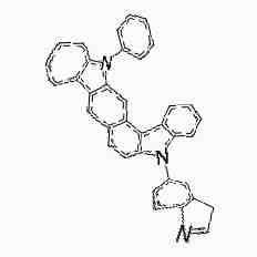 C1=Nc2ccc(-n3c4ccccc4c4c5cc6c(cc5ccc43)c3ccccc3n6-c3ccccc3)cc2C1